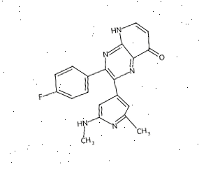 CNc1cc(-c2nc3c(=O)cc[nH]c3nc2-c2ccc(F)cc2)cc(C)n1